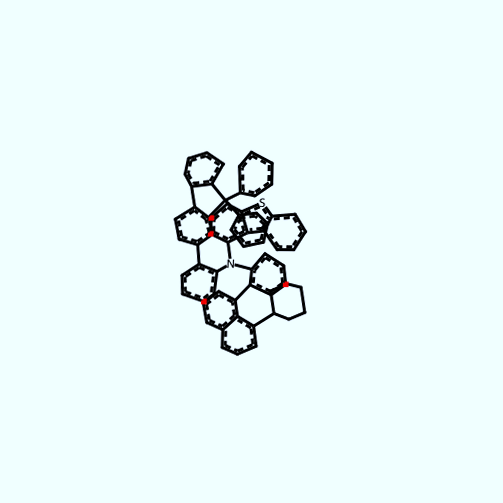 c1ccc(C2(c3ccccc3)c3ccccc3-c3ccc(-c4ccccc4N(c4ccccc4-c4cccc5cccc(C6CCCCC6)c45)c4cccc5sc6ccccc6c45)cc32)cc1